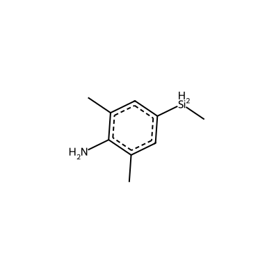 C[SiH2]c1cc(C)c(N)c(C)c1